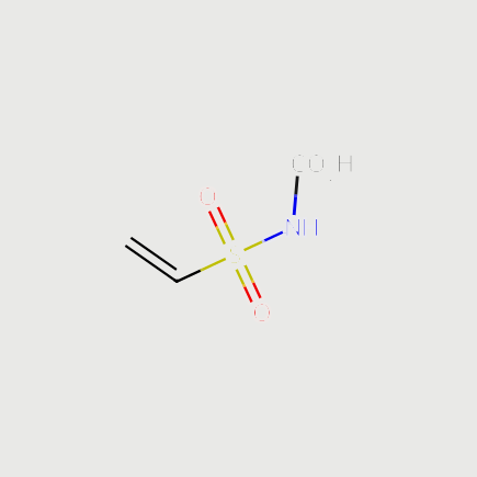 C=CS(=O)(=O)NC(=O)O